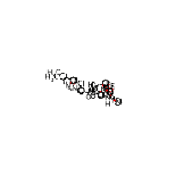 CC1(C)CCC(c2ccc(Cl)cc2)=C(CN2CCN(c3ccc(C(=O)NS(=O)(=O)c4ccc(N[C@H](CCN5C6CC5CN(Cc5cccc(N7CCC(=O)NC7=O)c5)C6)CSc5ccccc5)c(S(=O)(=O)C(F)(F)F)c4)cc3)CC2)C1